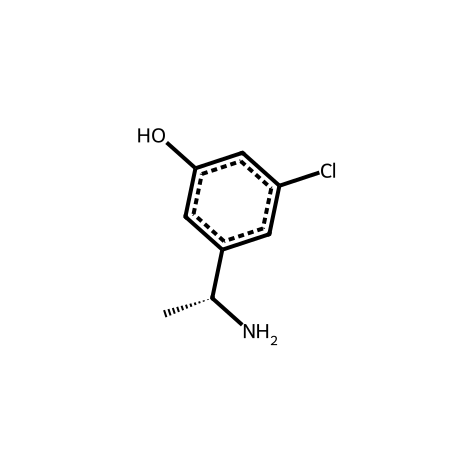 C[C@@H](N)c1cc(O)cc(Cl)c1